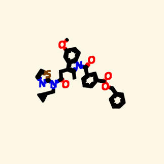 COc1ccc2c(c1)c(CC(=O)N(CC1CC1)c1nccs1)c(C)n2C(=O)c1cccc(C(=O)OCc2ccccc2)c1